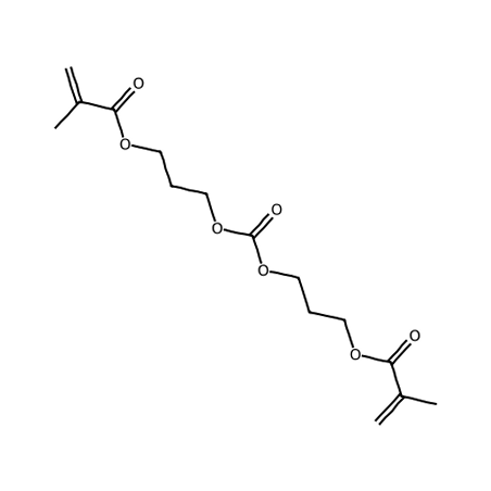 C=C(C)C(=O)OCCCOC(=O)OCCCOC(=O)C(=C)C